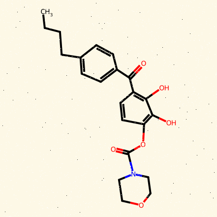 CCCCc1ccc(C(=O)c2ccc(OC(=O)N3CCOCC3)c(O)c2O)cc1